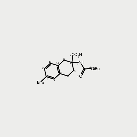 CC(C)COC(=O)NC1(C(=O)O)CCc2cc(Br)ccc2C1